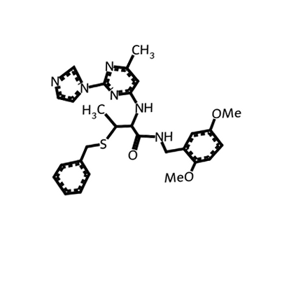 COc1ccc(OC)c(CNC(=O)C(Nc2cc(C)nc(-n3ccnc3)n2)C(C)SCc2ccccc2)c1